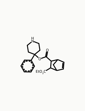 CCOC(=O)C1C2C=CC(C2)C1C(=O)OC1(c2ccccc2)CCNCC1